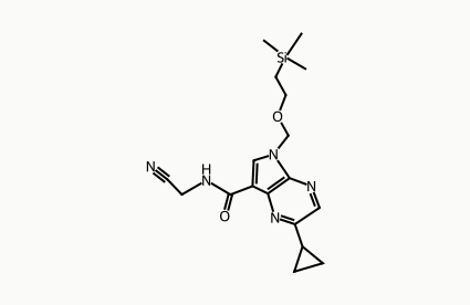 C[Si](C)(C)CCOCn1cc(C(=O)NCC#N)c2nc(C3CC3)cnc21